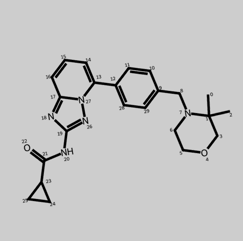 CC1(C)COCCN1Cc1ccc(-c2cccc3nc(NC(=O)C4CC4)nn23)cc1